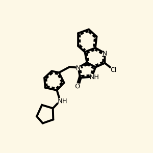 O=c1[nH]c2c(Cl)nc3ccccc3c2n1Cc1cccc(NC2CCCC2)c1